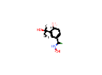 BC1CC=C(C(Cl)NO)C=C1C(C)(C)O